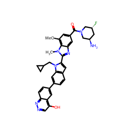 COc1cc(C(=O)N2C[C@H](N)C[C@@H](F)C2)cc2nc(-c3cc4ccc(-c5ccc6nncc(O)c6c5)cc4n3CC3CC3)n(C)c12